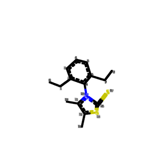 CCc1cccc(CC)c1-n1c(C)c(C)sc1=S